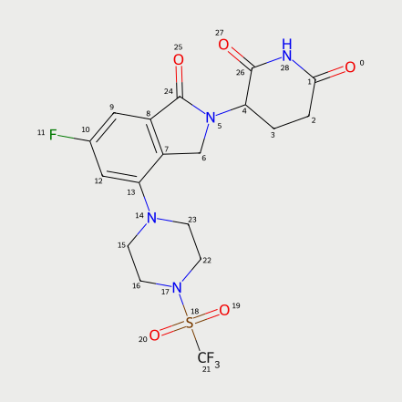 O=C1CCC(N2Cc3c(cc(F)cc3N3CCN(S(=O)(=O)C(F)(F)F)CC3)C2=O)C(=O)N1